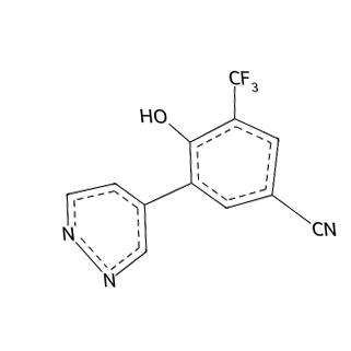 N#Cc1cc(-c2ccnnc2)c(O)c(C(F)(F)F)c1